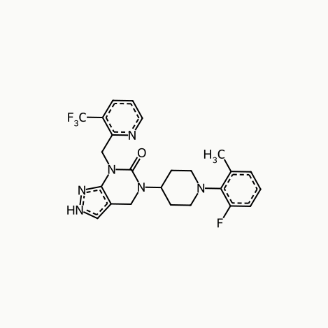 Cc1cccc(F)c1N1CCC(N2Cc3c[nH]nc3N(Cc3ncccc3C(F)(F)F)C2=O)CC1